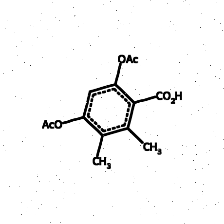 CC(=O)Oc1cc(OC(C)=O)c(C(=O)O)c(C)c1C